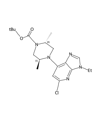 CCn1cnc2c(N3C[C@@H](C)N(C(=O)OC(C)(C)C)C[C@@H]3C)cc(Cl)nc21